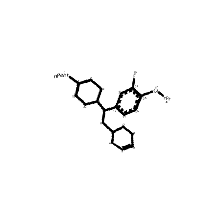 CCCCCC1CCC(C(CC2CC=CCC2)c2ccc(OCCC)c(F)c2)CC1